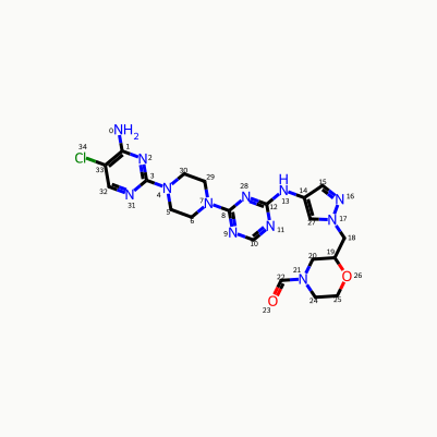 Nc1nc(N2CCN(c3ncnc(Nc4cnn(CC5CN(C=O)CCO5)c4)n3)CC2)ncc1Cl